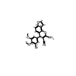 COc1cc(C2C(C#N)=C(N)Oc3c2ccc2occc32)cc(Br)c1OC